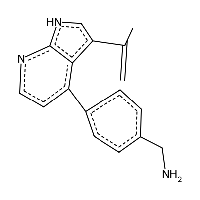 C=C(C)c1c[nH]c2nccc(-c3ccc(CN)cc3)c12